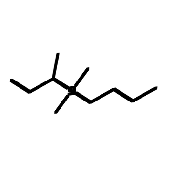 CCCC[Si](C)(C)C(C)CC